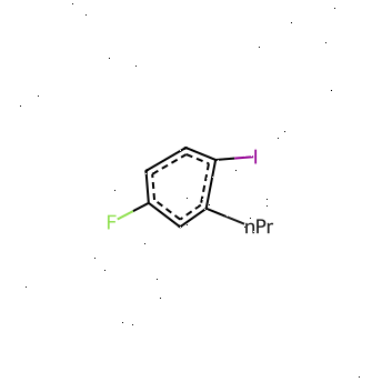 CCCc1cc(F)ccc1I